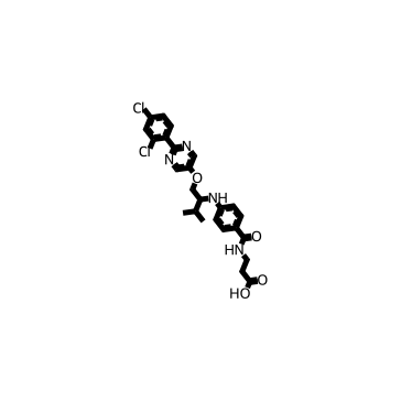 CC(C)C(COc1cnc(-c2ccc(Cl)cc2Cl)nc1)Nc1ccc(C(=O)NCCC(=O)O)cc1